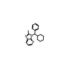 Cc1nc2cccnc2n1C(c1ccccc1)C1CCCCC1